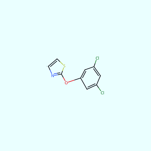 Clc1cc(Cl)cc(Oc2n[c]cs2)c1